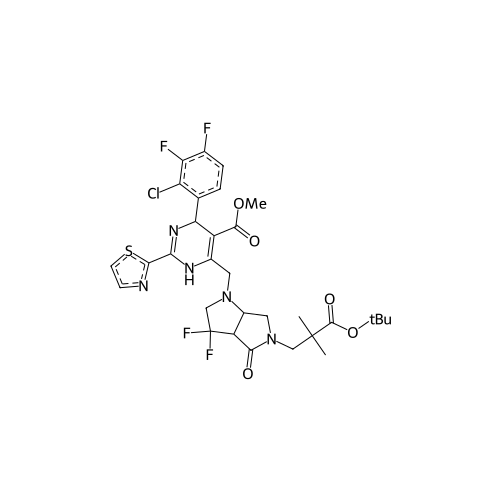 COC(=O)C1=C(CN2CC(F)(F)C3C(=O)N(CC(C)(C)C(=O)OC(C)(C)C)CC32)NC(c2nccs2)=NC1c1ccc(F)c(F)c1Cl